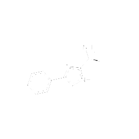 C[C@H](N)c1nc(-c2ccccc2)c[nH]1